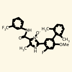 COc1cc(F)c(-c2[nH]c(C)c(C(=O)Nc3cccc(C(F)(F)F)c3)[n+]2[O-])cc1-c1c(C)cccc1C